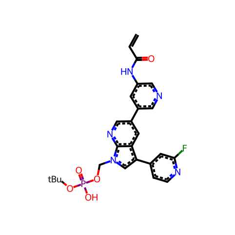 C=CC(=O)Nc1cncc(-c2cnc3c(c2)c(-c2ccnc(F)c2)cn3COP(=O)(O)OC(C)(C)C)c1